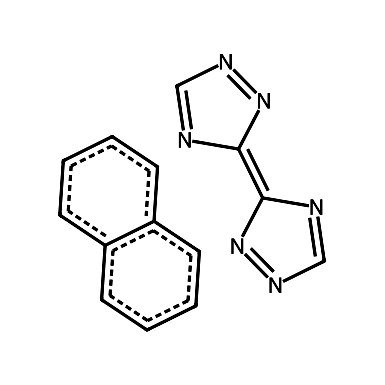 C1=NC(=C2N=CN=N2)N=N1.c1ccc2ccccc2c1